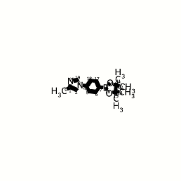 Cc1cn(-c2ccc(B3OC(C)(C)C(C)(C)O3)cc2)cn1